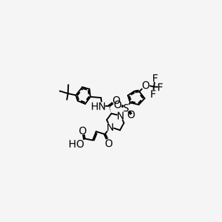 CC(C)(C)c1ccc(CNC(=O)[C@H]2CN(C(=O)C=CC(=O)O)CCN2S(=O)(=O)c2ccc(OC(F)(F)F)cc2)cc1